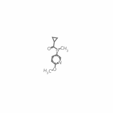 COc1ccc(N(C)C(=O)C2CC2)cn1